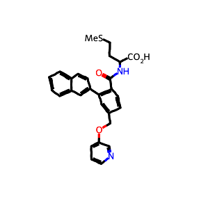 CSCCC(NC(=O)c1ccc(COc2cccnc2)cc1-c1ccc2ccccc2c1)C(=O)O